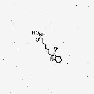 O=C(CCCCCCc1nc2ccccc2n1C1CC1)NO